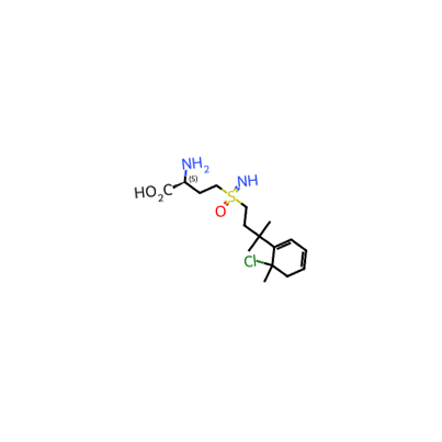 CC(C)(CCS(=N)(=O)CC[C@H](N)C(=O)O)C1=CC=CCC1(C)Cl